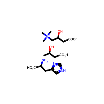 CC(O)CC(=O)O.C[N+](C)(C)CC(O)CC(=O)[O-].NC(Cc1c[nH]cn1)C(=O)O